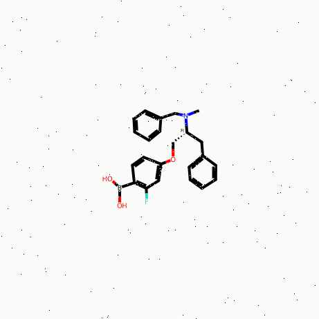 CN(Cc1ccccc1)[C@@H](COc1ccc(B(O)O)c(F)c1)Cc1ccccc1